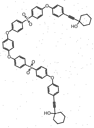 O=S(=O)(c1ccc(Oc2ccc(C#CC3(O)CCCCC3)cc2)cc1)c1ccc(Oc2ccc(Oc3ccc(S(=O)(=O)c4ccc(Oc5ccc(C#CC6(O)CCCCC6)cc5)cc4)cc3)cc2)cc1